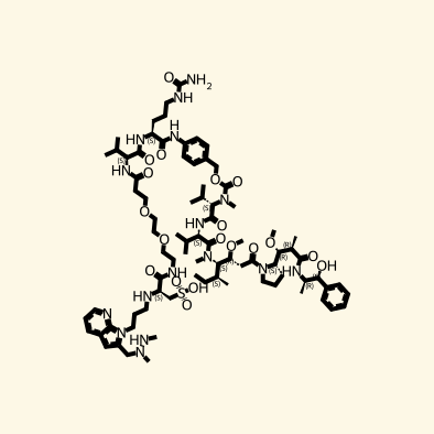 CC[C@H](C)[C@@H]([C@@H](CC(=O)N1CCC[C@H]1[C@H](OC)[C@@H](C)C(=O)N[C@H](C)[C@@H](O)c1ccccc1)OC)N(C)C(=O)[C@@H](NC(=O)[C@H](C(C)C)N(C)C(=O)OCc1ccc(NC(=O)[C@H](CCCNC(N)=O)NC(=O)[C@@H](NC(=O)CCOCCOCCNC(=O)[C@@H](CS(=O)(=O)O)NCCCn2c(CN(C)NC)cc3cccnc32)C(C)C)cc1)C(C)C